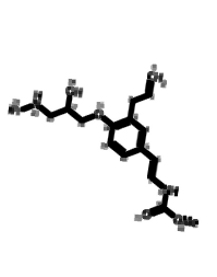 C=CCc1cc(C=CNC(=O)OC)ccc1OCC(O)CNC(C)C